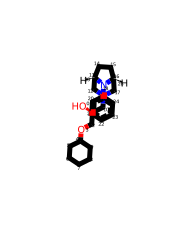 O[C@H](COC1CCCCC1)CN1C[C@H]2CC[C@@H](C1)N2c1ccccc1